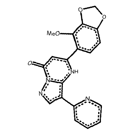 COc1c(-c2cc(=O)n3ncc(-c4ccccn4)c3[nH]2)ccc2c1OCO2